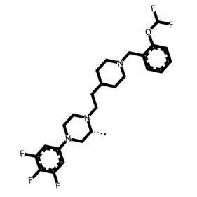 C[C@@H]1CN(c2cc(F)c(F)c(F)c2)CCN1CCC1CCN(Cc2ccccc2OC(F)F)CC1